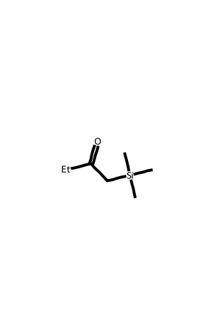 CCC(=O)C[Si](C)(C)C